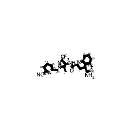 Cc1c(NC(=O)c2cc(C(N)=O)c3c(F)cccc3n2)c(C(F)(F)F)nn1Cc1cccc(C#N)n1